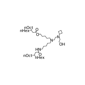 CCCCCCCCC(CCCCCC)CC(=O)NCCCCCN(CCCCCOC(=O)CC(CCCCCC)CCCCCCCC)CCN(CCO)C1CCC1